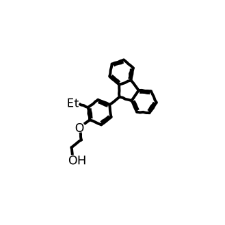 CCc1cc(C2c3ccccc3-c3ccccc32)ccc1OCCO